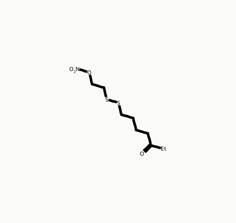 CCC(=O)CCCCSSCCO[N+](=O)[O-]